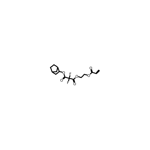 C=CC(=O)OCCOC(=O)C(F)(F)C(=O)OC1CC2CCC1C2